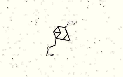 COOCC12C3C1C3C1(C(=O)O)C3C2C31